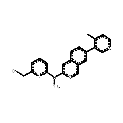 Cc1ccncc1-c1ccc2cc(N(N)c3cccc(CN=O)n3)ncc2c1